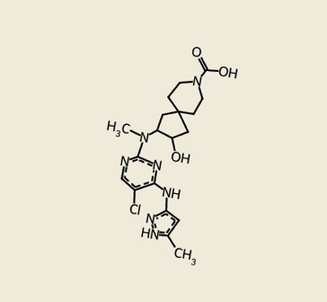 Cc1cc(Nc2nc(N(C)C3CC4(CCN(C(=O)O)CC4)CC3O)ncc2Cl)n[nH]1